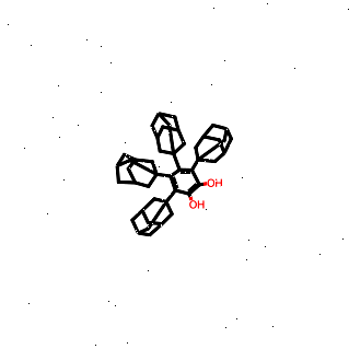 Oc1c(O)c(C23CC4CC(CC(C4)C2)C3)c(C23CC4CC(CC(C4)C2)C3)c(C23CC4CC(CC(C4)C2)C3)c1C12CC3CC(CC(C3)C1)C2